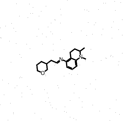 CC1CCc2c(/N=C/CC3CCCOC3)cccc2N1C